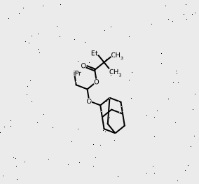 CCC(C)(C)C(=O)OC(CC(C)C)OC1C2CC3CC(C2)CC1C3